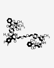 Cc1nc(Nc2ncc(C(=O)Nc3c(C)cccc3Cl)s2)cc(N2CCN(CCOCCOCCNC(=O)c3c(C(=O)N4CCN(C(=O)[C@@H](NC(=O)[C@H](C)N(C)C(=O)O)C5CCCCC5)CC4)n(C)c4cc(F)c(F)cc34)CC2)n1